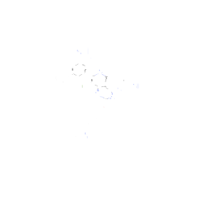 CC[C@@H]1CN2c3nc(OCC[C@@H]4CC[C@H]5COCCN45)nc4c(F)c(-c5cc(N)c(F)c(C)c5C(F)(F)F)nc(c34)O[C@@H](C)[C@@H]2CN1